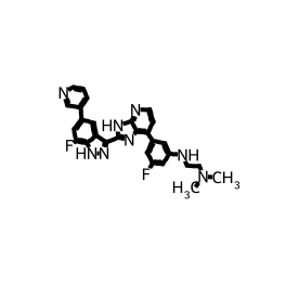 CN(C)CCNc1cc(F)cc(-c2ccnc3[nH]c(-c4n[nH]c5c(F)cc(-c6cccnc6)cc45)nc23)c1